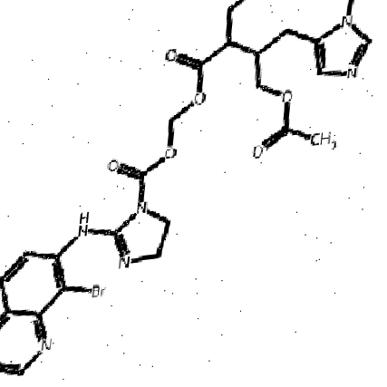 CCC(C(=O)OCOC(=O)N1CCN=C1Nc1ccc2nccnc2c1Br)C(COC(C)=O)Cc1cncn1C